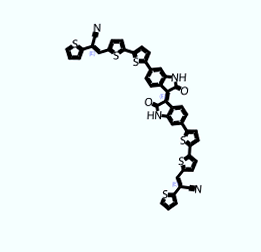 N#C/C(=C\c1ccc(-c2ccc(-c3ccc4c(c3)NC(=O)/C4=C3/C(=O)Nc4cc(-c5ccc(-c6ccc(/C=C(\C#N)c7cccs7)s6)s5)ccc43)s2)s1)c1cccs1